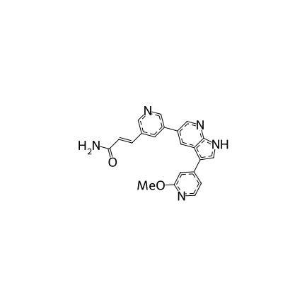 COc1cc(-c2c[nH]c3ncc(-c4cncc(/C=C/C(N)=O)c4)cc23)ccn1